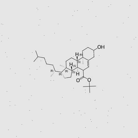 CC(C)CCC[C@@H](C)[C@H]1CC[C@H]2[C@@H]3C(C(=O)OC(C)(C)C)C=C4CC(O)CC[C@]4(C)[C@H]3CC[C@]12C